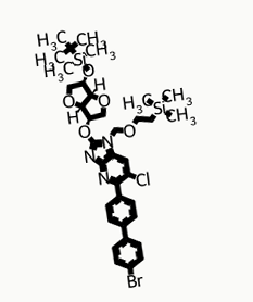 CC(C)(C)[Si](C)(C)O[C@@H]1CO[C@H]2[C@@H]1OC[C@H]2Oc1nc2nc(-c3ccc(-c4ccc(Br)cc4)cc3)c(Cl)cc2n1COCC[Si](C)(C)C